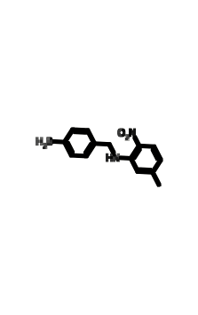 Bc1ccc(CNc2cc(C)ccc2[N+](=O)[O-])cc1